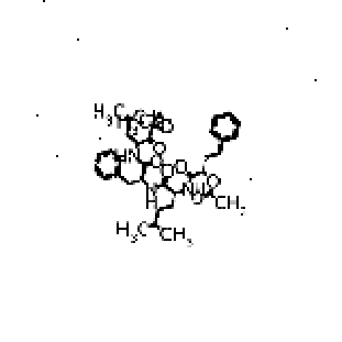 CC(=O)O[C@@H](CCc1ccccc1)C(=O)N[C@@H](CCC(C)C)C(=O)N[C@@H](Cc1ccccc1)C(=O)NC(CC(C)C)C(=O)[C@@]1(C)CO1